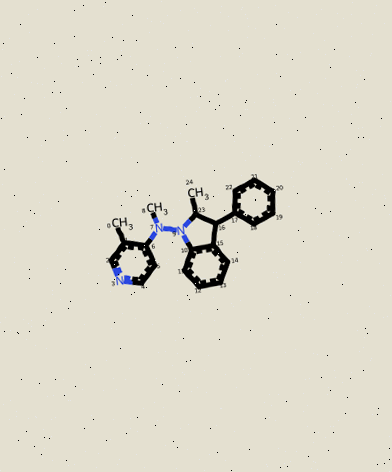 Cc1cnccc1N(C)N1c2ccccc2C(c2ccccc2)C1C